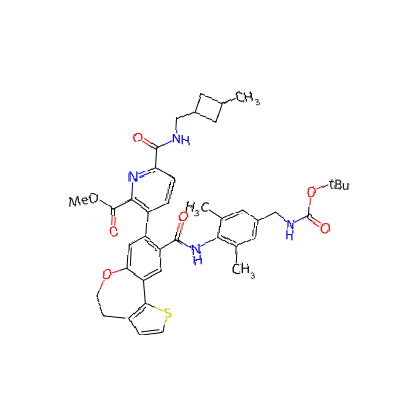 COC(=O)c1nc(C(=O)NCC2CC(C)C2)ccc1-c1cc2c(cc1C(=O)Nc1c(C)cc(CNC(=O)OC(C)(C)C)cc1C)-c1sccc1CCO2